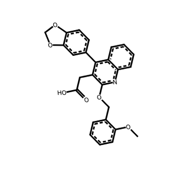 COc1ccccc1COc1nc2ccccc2c(-c2ccc3c(c2)OCO3)c1CC(=O)O